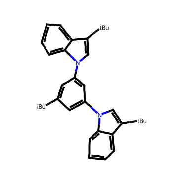 CCC(C)c1cc(-n2cc(C(C)(C)C)c3ccccc32)cc(-n2cc(C(C)(C)C)c3ccccc32)c1